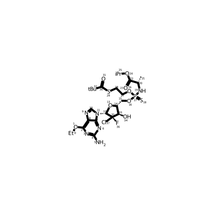 CCOc1nc(N)nc2c1ncn2[C@@H]1O[C@H](COP(=S)(N[C@@H](C)C(=O)OC(C)C)OCCSC(=O)C(C)(C)C)[C@@H](O)[C@]1(F)Cl